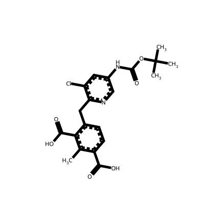 Cc1c(C(=O)O)ccc(Cc2ncc(NC(=O)OC(C)(C)C)cc2Cl)c1C(=O)O